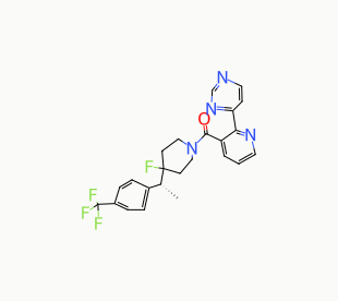 C[C@H](c1ccc(C(F)(F)F)cc1)C1(F)CCN(C(=O)c2cccnc2-c2ccncn2)CC1